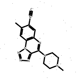 [C-]#[N+]c1cc2nc(N3CCN(C)CC3)c3nnnn3c2cc1C